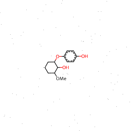 COC1C[CH]CC(Oc2ccc(O)cc2)C1O